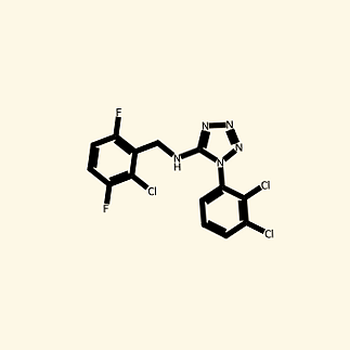 Fc1ccc(F)c(CNc2nnnn2-c2cccc(Cl)c2Cl)c1Cl